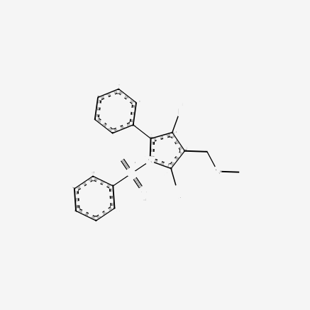 CNCc1c(F)c(-c2ccccc2)n(S(=O)(=O)c2ccccc2)c1Cl